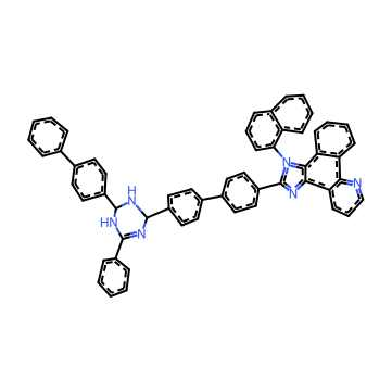 c1ccc(C2=NC(c3ccc(-c4ccc(-c5nc6c7cccnc7c7ccccc7c6n5-c5cccc6ccccc56)cc4)cc3)NC(c3ccc(-c4ccccc4)cc3)N2)cc1